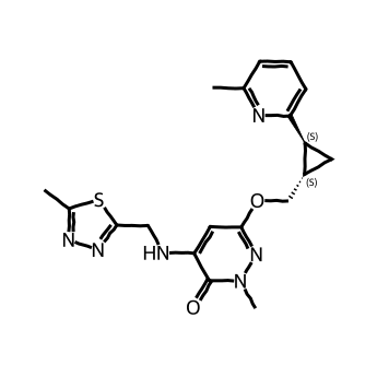 Cc1cccc([C@H]2C[C@@H]2COc2cc(NCc3nnc(C)s3)c(=O)n(C)n2)n1